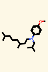 COc1ccc(N(CCC(C)CCCC(C)C)CC(C)C)cc1